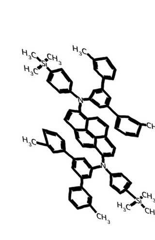 Cc1cccc(-c2cc(-c3cccc(C)c3)cc(N(c3ccc([Si](C)(C)C)cc3)c3ccc4ccc5c(N(c6ccc([Si](C)(C)C)cc6)c6cc(-c7cccc(C)c7)cc(-c7cccc(C)c7)c6)ccc6ccc3c4c65)c2)c1